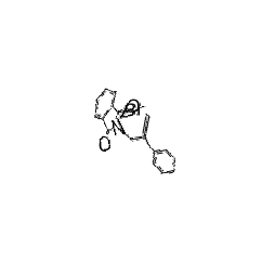 O=C1c2ccccc2C(=O)N1C/C(=C\Br)c1ccccc1